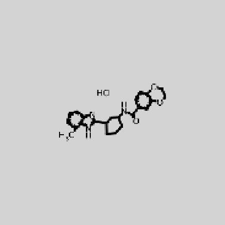 Cc1cccc2nc(C3CCCC(NC(=O)c4ccc5c(c4)OCCO5)C3)[nH]c12.Cl